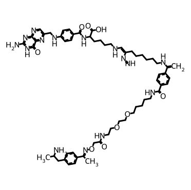 C=C(NCCCCCC/C(=C/NCCCCC(NC(=O)c1ccc(NCc2cnc3nc(N)[nH]c(=O)c3n2)cc1)C(=O)O)N=N)c1ccc(C(=O)NCCCCCOCCOCCNC(=O)CO/N=C(\C)c2ccc(CC(C)N)cc2)cc1